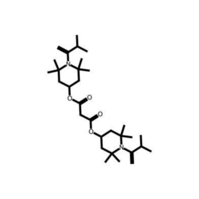 C=C(C(C)C)N1C(C)(C)CC(OC(=O)CC(=O)OC2CC(C)(C)N(C(=C)C(C)C)C(C)(C)C2)CC1(C)C